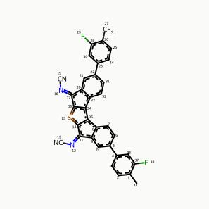 Cc1ccc(-c2ccc3c(c2)/c(=N/C#N)c2sc4/c(=N/C#N)c5cc(-c6ccc(C(F)(F)F)c(F)c6)ccc5c4c23)cc1F